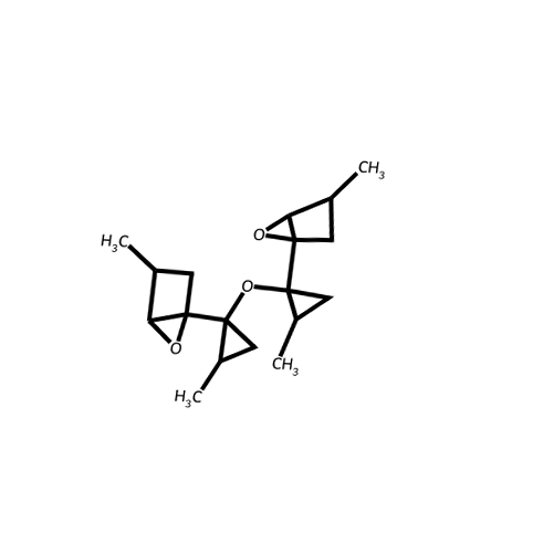 CC1CC2(C3(OC4(C56CC(C)C5O6)CC4C)CC3C)OC12